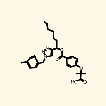 CCCCCCC(OC(=O)c1ccc(OC(C)(C)C(=O)O)cc1)c1cn(Cc2ccc(C)cc2)nn1